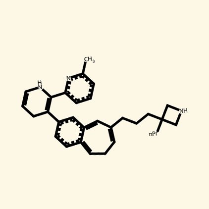 CCCC1(CCCC2=CCC=c3ccc(C4=C(c5cccc(C)n5)NC=CC4)cc3=C2)CNC1